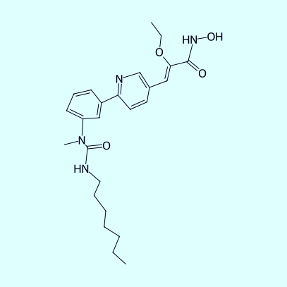 CCCCCCCNC(=O)N(C)c1cccc(-c2ccc(/C=C(\OCC)C(=O)NO)cn2)c1